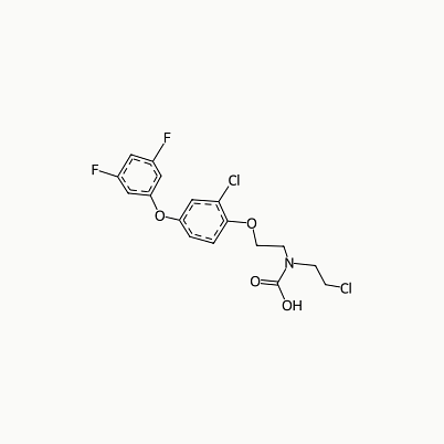 O=C(O)N(CCCl)CCOc1ccc(Oc2cc(F)cc(F)c2)cc1Cl